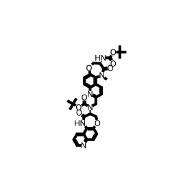 CN1C(=O)[C@@H](NC(=O)OC(C)(C)C)COc2ccc3nc(CN(C(=O)OC(C)(C)C)[C@H]4COc5ccc6ncccc6c5NC4=O)ccc3c21